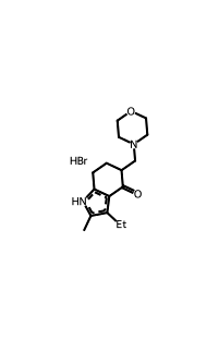 Br.CCc1c(C)[nH]c2c1C(=O)C(CN1CCOCC1)CC2